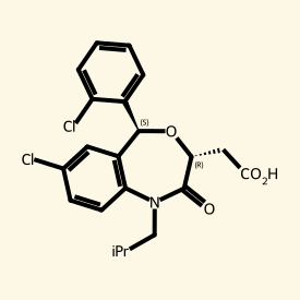 CC(C)CN1C(=O)[C@@H](CC(=O)O)O[C@H](c2ccccc2Cl)c2cc(Cl)ccc21